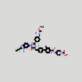 Cc1cc(C(=O)NC2CCN(C(=O)OC(C)(C)C)CC2)ccc1-c1ccc(C[C@H](NC(=O)[C@H]2CC[C@H](CNC(=O)OC(C)(C)C)CC2)C(=O)Nc2ccc3nc(C(F)(F)C(F)(F)C(F)(F)F)[nH]c3c2)cc1